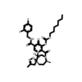 CCCCCCCOC(=O)Oc1c2n(cc(C(=O)NCc3ccc(F)cc3F)c1=O)[C@@H]1CN(C2=O)[C@@H](C)CC[C@]12CC(C)=NO2